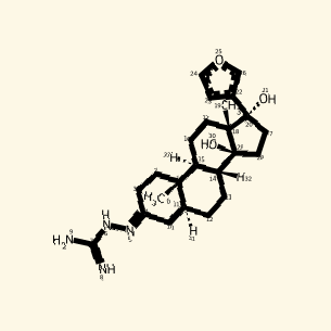 C[C@]12CC/C(=N\NC(=N)N)C[C@@H]1CC[C@@H]1[C@@H]2CC[C@]2(C)[C@@](O)(c3ccoc3)CC[C@]12O